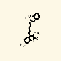 Cc1ccc2c(CCCCCN(C)Cc3ccccc3C)c(C=O)c(=O)oc2c1